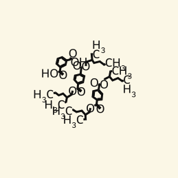 CCCCC(CC)COC(=O)c1ccc(C(=O)OCC(CC)CCCC)cc1.CCCCC(CC)COC(=O)c1ccc(C(=O)OCC(CC)CCCC)cc1.O=C(O)c1cccc(C(=O)O)c1